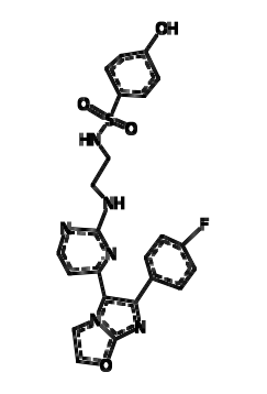 O=S(=O)(NCCNc1nccc(-c2c(-c3ccc(F)cc3)nc3occn23)n1)c1ccc(O)cc1